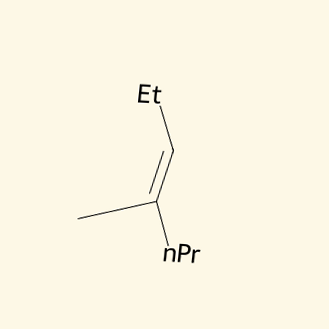 [CH2]CC/C(C)=C/CC